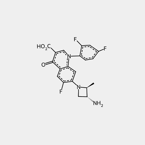 C[C@H]1[C@H](N)CN1c1cc2c(cc1F)c(=O)c(C(=O)O)cn2-c1ccc(F)cc1F